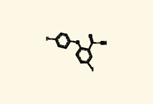 O=C(O)c1cc(I)ccc1Oc1ccc(F)cc1